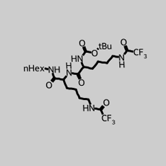 CCCCCCNC(=O)C(CCCCNC(=O)C(F)(F)F)NC(=O)C(CCCCNC(=O)C(F)(F)F)NC(=O)OC(C)(C)C